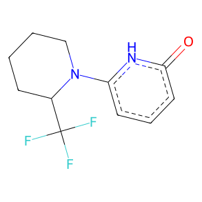 O=c1cccc(N2CCCCC2C(F)(F)F)[nH]1